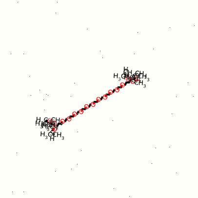 C[SiH](C)CO[Si](C)(CCCOCCOCCOCCOCCOCCOCCOCCOCCOCCOCCOCCC[Si](C)(OC[SiH](C)C)O[Si](C)(C)O[Si](C)(C)C)O[Si](C)(C)O[Si](C)(C)C